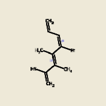 C=C/C=C(CC)\C(C)=C(/C)C(=C)S